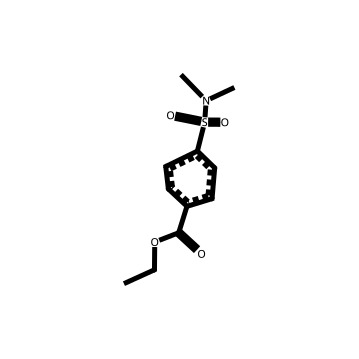 CCOC(=O)c1ccc(S(=O)(=O)N(C)C)cc1